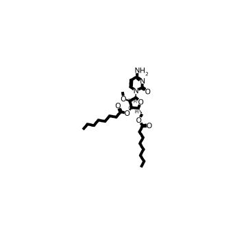 CCCCCCCC(=O)OC[C@H]1O[C@@H](n2ccc(N)nc2=O)[C@H](OC)[C@@H]1OC(=O)CCCCCCC